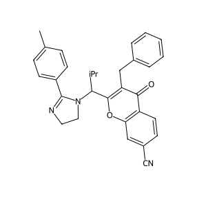 Cc1ccc(C2=NCCN2C(c2oc3cc(C#N)ccc3c(=O)c2Cc2ccccc2)C(C)C)cc1